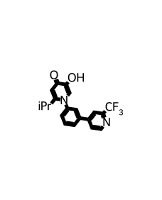 CC(C)c1cc(=O)c(O)cn1-c1cccc(-c2ccnc(C(F)(F)F)c2)c1